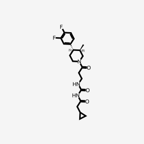 C[C@H]1CN(C(=O)CCNC(=O)NC(=O)CC2CC2)CC[C@@H]1c1ccc(F)c(F)c1